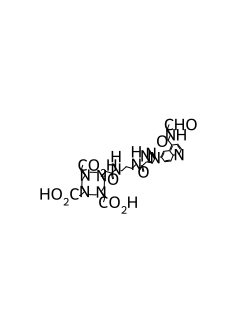 O=CCNC(=O)c1ccnc2ccc(-n3cc(C(=O)NCCCNC(=O)CN4CCN(CC(=O)O)CCN(CC(=O)O)CCN(CC(=O)O)CC4)nn3)cc12